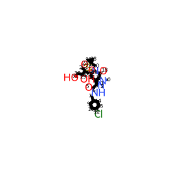 Cn1nc(C(=O)NCc2ccc(Cl)cc2)c2c1C(=O)N(CC1(S(=O)(=O)C(C)(C)[C@H](O)CO)CC1)CC2